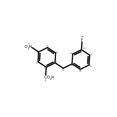 O=C(O)c1cc([N+](=O)[O-])ccc1Cc1cccc(F)c1